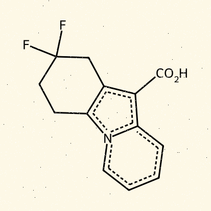 O=C(O)c1c2c(n3ccccc13)CCC(F)(F)C2